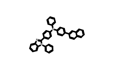 c1ccc(N(c2ccc(-c3ccc4ccccc4c3)cc2)c2ccc(-c3nc4ccccc4n3-c3ccccc3)cc2)cc1